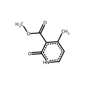 COC(=O)c1c(C)cc[nH]c1=O